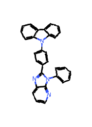 c1ccc(-n2c(-c3ccc(-n4c5ccccc5c5ccccc54)cc3)nc3cccnc32)cc1